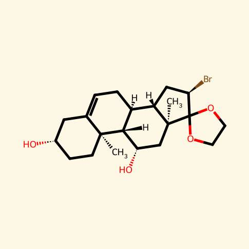 C[C@]12CC[C@H](O)CC1=CC[C@@H]1[C@@H]2[C@@H](O)C[C@@]2(C)[C@H]1C[C@@H](Br)C21OCCO1